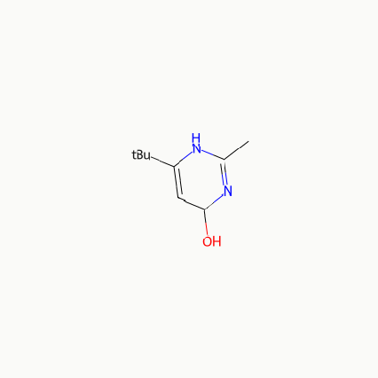 CC1=NC(O)C=C(C(C)(C)C)N1